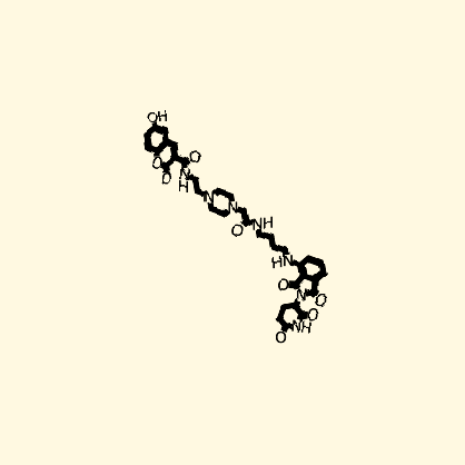 O=C(CN1CCN(CCNC(=O)c2cc3cc(O)ccc3oc2=O)CC1)NCCCCNc1cccc2c1C(=O)N(C1CCC(=O)NC1=O)C2=O